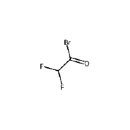 O=C(Br)C(F)F